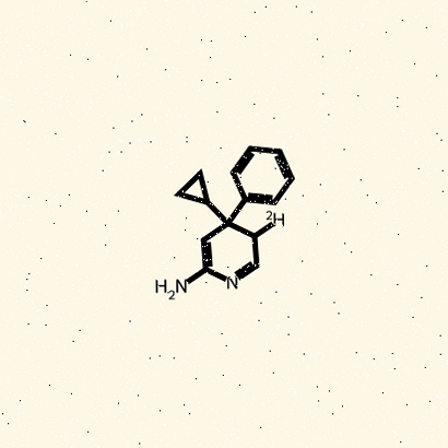 [2H]C1C=NC(N)=CC1(c1ccccc1)C1CC1